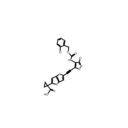 O=C(Nc1c(Cl)noc1C#Cc1cc2sc(C3(C(=O)O)CC3)cc2s1)OCc1ccccc1Cl